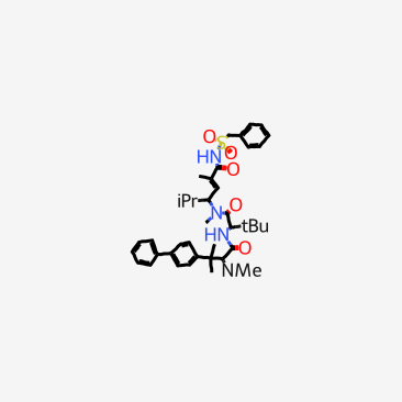 CNC(C(=O)NC(C(=O)N(C)C(/C=C(\C)C(=O)NS(=O)(=O)Cc1ccccc1)C(C)C)C(C)(C)C)C(C)(C)c1ccc(-c2ccccc2)cc1